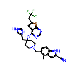 Cc1c(CN2CCC(Cc3c[nH]cn3)(Nc3ncnc4sc(CC(F)(F)F)cc34)CC2)ccc2[nH]c(C#N)cc12